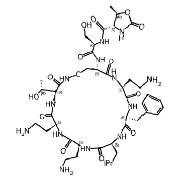 CC(C)C[C@@H]1NC(=O)[C@@H](Cc2ccccc2)NC(=O)[C@H](CCN)NC(=O)[C@@H](NC(=O)[C@@H](CO)NC(=O)[C@H]2NC(=O)O[C@@H]2C)CCNC(=O)[C@H]([C@@H](C)O)NC(=O)[C@H](CCN)NC(=O)[C@H](CCN)NC1=O